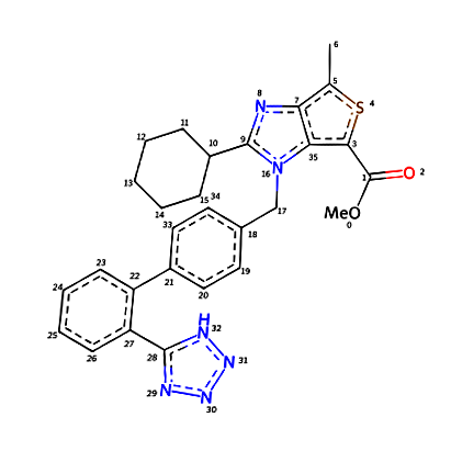 COC(=O)c1sc(C)c2nc(C3CCCCC3)n(Cc3ccc(-c4ccccc4-c4nnn[nH]4)cc3)c12